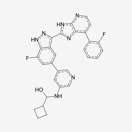 OC(Nc1cncc(-c2cc(F)c3[nH]nc(-c4nc5c(-c6ccccc6F)ccnc5[nH]4)c3c2)c1)C1CCC1